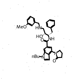 CCCCn1ccc2c(N3CCCC3=O)cc(C(=O)N[C@@H](Cc3ccccc3)[C@H](O)CNCc3cccc(OC)c3)cc21